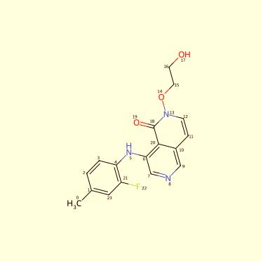 Cc1ccc(Nc2cncc3ccn(OCCO)c(=O)c23)c(F)c1